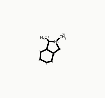 CC1C2CCCCC2CN1C